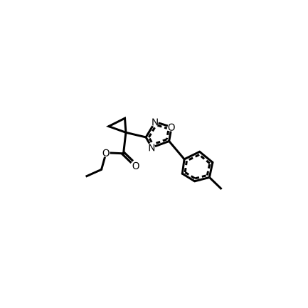 CCOC(=O)C1(c2noc(-c3ccc(C)cc3)n2)CC1